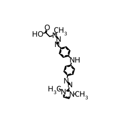 CN(CC(=O)O)/N=N/c1ccc(Nc2ccc(/N=N/c3n(C)cc[n+]3C)cc2)cc1